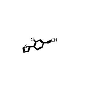 C#Cc1ccc(-c2cccs2)c(Cl)c1